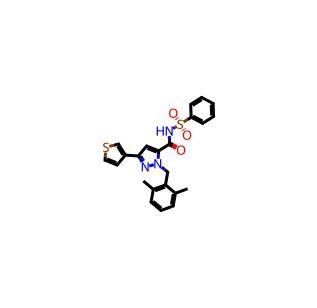 Cc1cccc(C)c1Cn1nc(-c2ccsc2)cc1C(=O)NS(=O)(=O)c1ccccc1